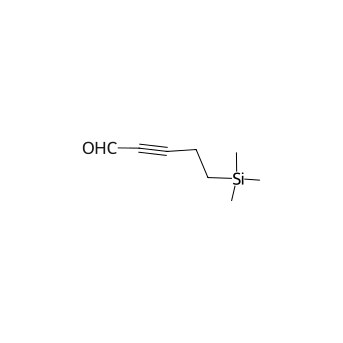 C[Si](C)(C)CCC#CC=O